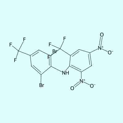 O=[N+]([O-])c1cc([N+](=O)[O-])c(Nc2c(Br)cc(C(F)(F)F)cc2Br)c(C(F)(F)F)c1